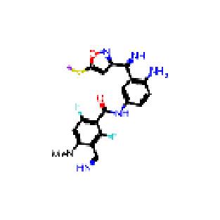 CNc1cc(F)c(C(=O)Nc2ccc(N)c(C(=N)c3cc(SI)on3)c2)c(F)c1C=N